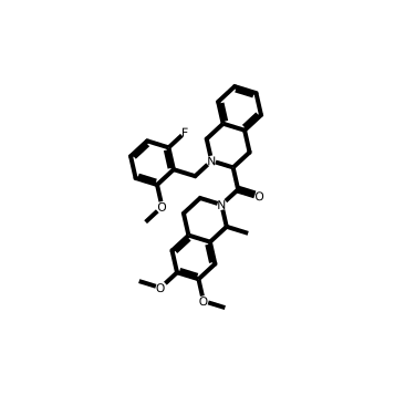 COc1cc2c(cc1OC)C(C)N(C(=O)C1Cc3ccccc3CN1Cc1c(F)cccc1OC)CC2